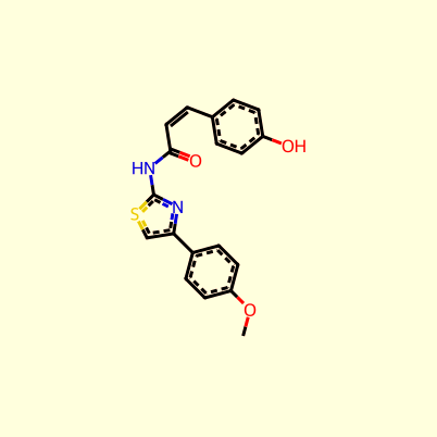 COc1ccc(-c2csc(NC(=O)/C=C\c3ccc(O)cc3)n2)cc1